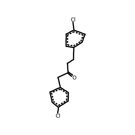 O=C(CCc1ccc(Cl)cc1)Cc1ccc(Cl)cc1